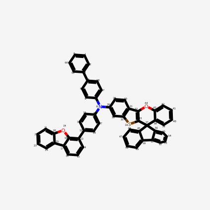 c1ccc(-c2ccc(N(c3ccc(-c4cccc5c4oc4ccccc45)cc3)c3ccc4c5c(sc4c3)C3(c4ccccc4O5)c4ccccc4-c4ccccc43)cc2)cc1